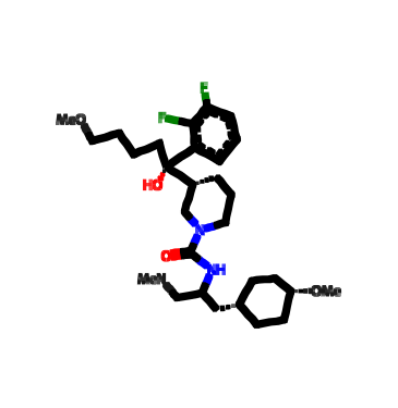 CNCC(C[C@H]1CC[C@@H](OC)CC1)NC(=O)N1CCC[C@@H]([C@@](O)(CCCCOC)c2cccc(F)c2F)C1